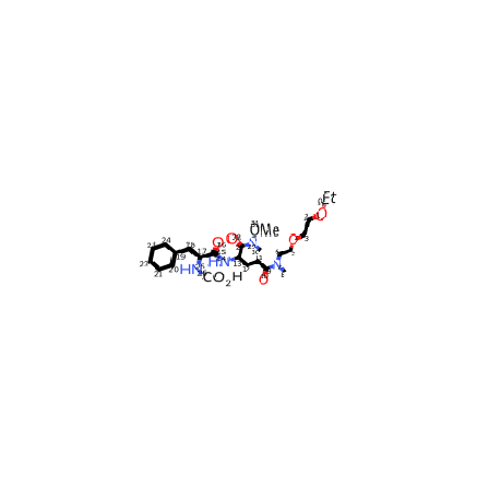 CCOCCOCCN(C)C(=O)CCC(NC(=O)C(CC1CCCCC1)NC(=O)O)C(=O)N(C)OC